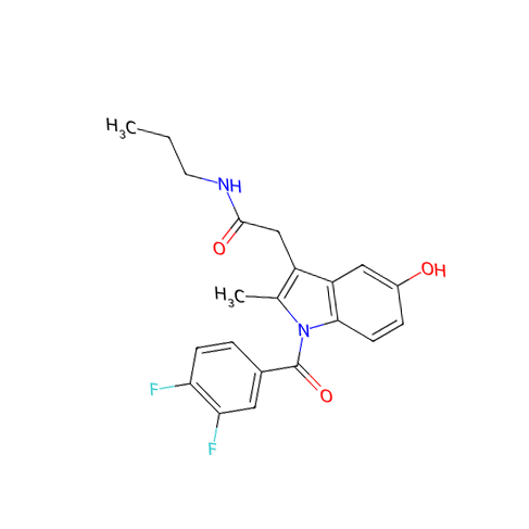 CCCNC(=O)Cc1c(C)n(C(=O)c2ccc(F)c(F)c2)c2ccc(O)cc12